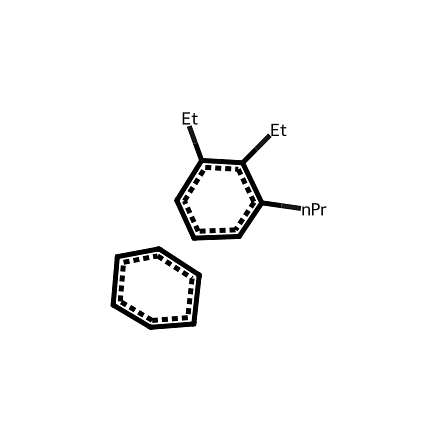 CCCc1cccc(CC)c1CC.c1ccccc1